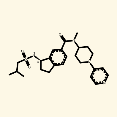 CC(C)CS(=O)(=O)N[C@@H]1CCc2ccc(C(=O)N(C)C3CCN(c4ccncc4)CC3)cc21